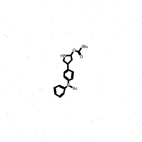 CC(=O)N(c1ccccc1)c1ccc(C2CNC(OC(=O)C(C)(C)C)C2)cc1